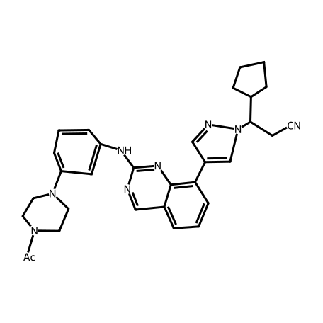 CC(=O)N1CCN(c2cccc(Nc3ncc4cccc(-c5cnn(C(CC#N)C6CCCC6)c5)c4n3)c2)CC1